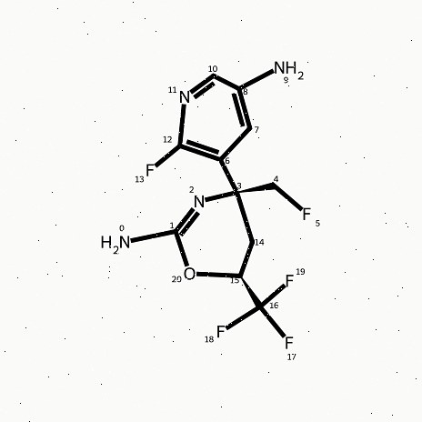 NC1=N[C@](CF)(c2cc(N)cnc2F)C[C@@H](C(F)(F)F)O1